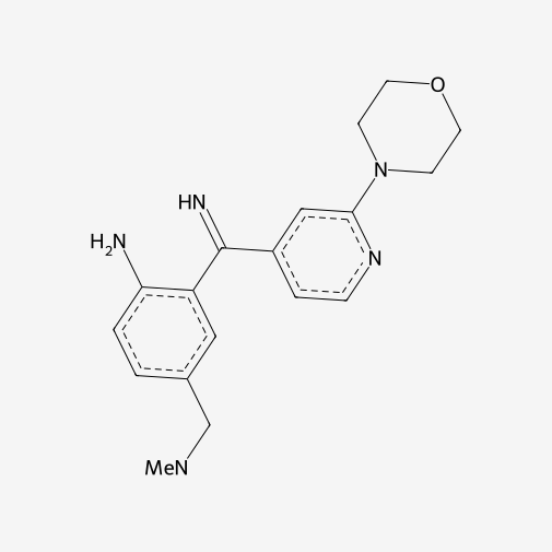 CNCc1ccc(N)c(C(=N)c2ccnc(N3CCOCC3)c2)c1